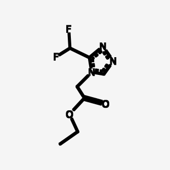 CCOC(=O)Cn1cnnc1C(F)F